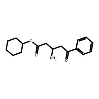 NC(CC(=O)OC1CCCCC1)CC(=O)c1ccccc1